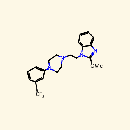 COc1nc2ccccc2n1CCN1CCN(c2cccc(C(F)(F)F)c2)CC1